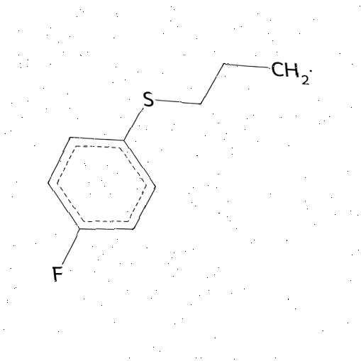 [CH2]CCSc1ccc(F)cc1